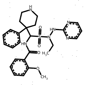 CCN(Nc1ncccn1)S(=O)(=O)C(NC(=O)c1ccccc1OC)C1(c2ccccc2)CCNCC1